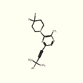 Cc1ncc(C#CC(C)(C)O)nc1N1CCC(F)(F)CC1